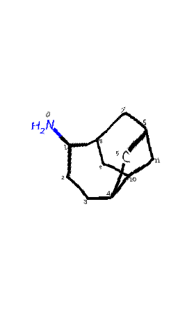 NC1CCC2CC3CC1CC2C3